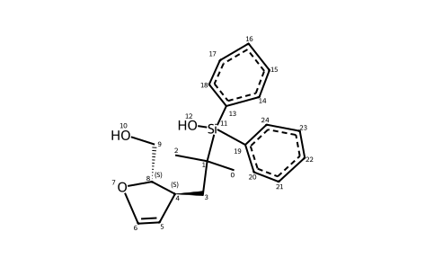 CC(C)(C[C@H]1C=CO[C@@H]1CO)[Si](O)(c1ccccc1)c1ccccc1